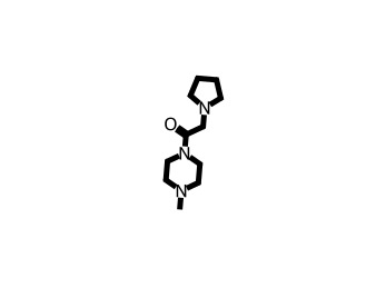 CN1CCN(C(=O)CN2CCCC2)CC1